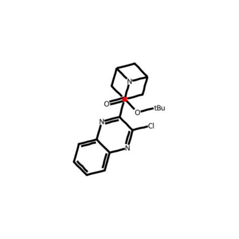 CC(C)(C)OC(=O)N1C2CC1CN(c1nc3ccccc3nc1Cl)C2